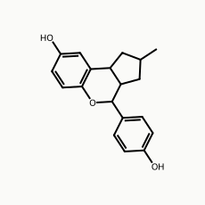 CC1CC2c3cc(O)ccc3OC(c3ccc(O)cc3)C2C1